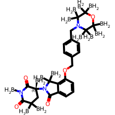 BN1C(=O)C(B)(B)C[C@@](B)(N2C(=O)c3cccc(OCc4ccc(CN5C(B)(B)C(B)(B)OC(B)(B)C5(B)B)cc4)c3C2(B)B)C1=O